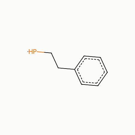 [PH]CCc1ccccc1